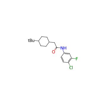 CC(C)(C)C1CCC(CC(=O)Nc2ccc(Cl)c(F)c2)CC1